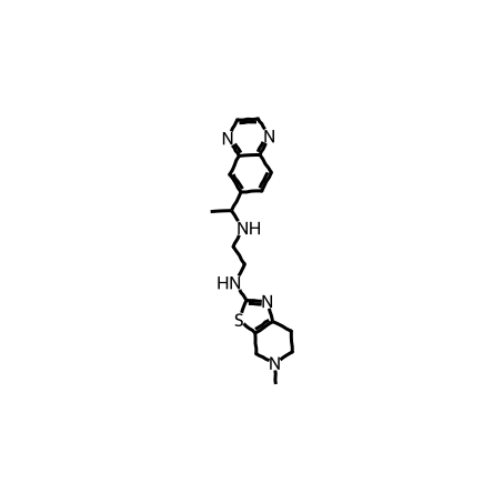 CC(NCCNc1nc2c(s1)CN(C)CC2)c1ccc2nccnc2c1